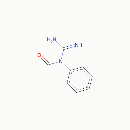 N=C(N)N(C=O)c1ccccc1